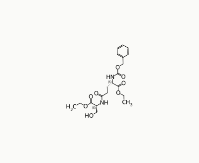 CCOC(=O)[C@H](CO)NC(=O)CC[C@H](NC(=O)OCc1ccccc1)C(=O)OCC